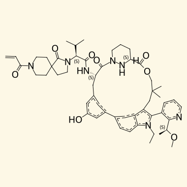 C=CC(=O)N1CCC2(CC1)CCN([C@H](C(=O)N[C@H]1Cc3cc(O)cc(c3)-c3ccc4c(c3)c(c(-c3cccnc3[C@H](C)OC)n4CC)CC(C)(C)COC(=O)[C@@H]3CCCN(N3)C1=O)C(C)C)C2=O